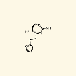 N=c1ccccc(CCc2cccs2)n1.[H+]